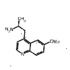 COc1ccc2nccc(C[C@H](C)N)c2c1